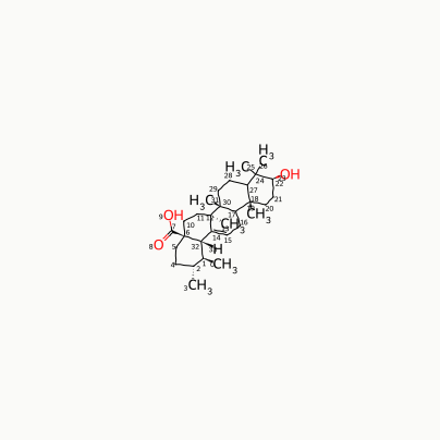 C[C@H]1[C@H](C)CC[C@]2(C(=O)O)CC[C@]3(C)C(=CCC4[C@@]5(C)CC[C@H](O)C(C)(C)C5CC[C@]43C)[C@H]12